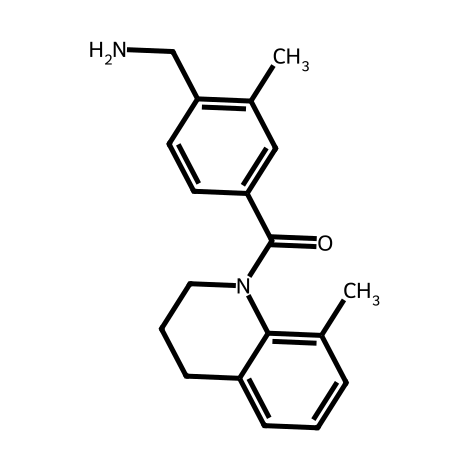 Cc1cc(C(=O)N2CCCc3cccc(C)c32)ccc1CN